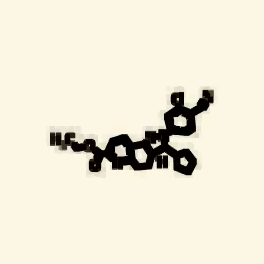 CCOC(=O)c1ccc2c(n1)CC[C@H]1C2=NN(c2ccc(C#N)c(Cl)c2)C1C1CCCC1